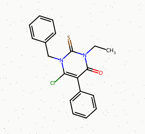 CCn1c(=O)c(-c2ccccc2)c(Cl)n(Cc2ccccc2)c1=S